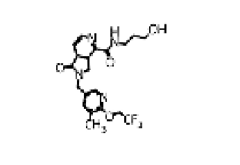 Cc1cc(CN2CC3C(C(=O)NCCCO)=NC=CC3C2=O)cnc1OCC(F)(F)F